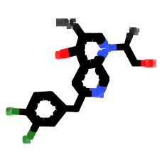 CC(C)[C@@H](CO)n1cc(C(=O)O)c(=O)c2cc(Cc3ccc(Cl)c(Cl)c3)ncc21